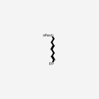 [CH2]CCCCCC/C=C/C/C=C/CC